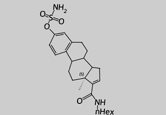 CCCCCCNC(=O)C1=CCC2C3CCc4cc(OS(N)(=O)=O)ccc4C3CC[C@]12C